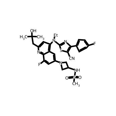 CCN(c1nc(-c2ccc(F)cc2)c(C#N)s1)c1cc(CC(C)(C)O)nc2c(F)cc(N3CC(NS(C)(=O)=O)C3)cc12